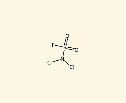 O=S(=O)(F)N(Cl)Cl